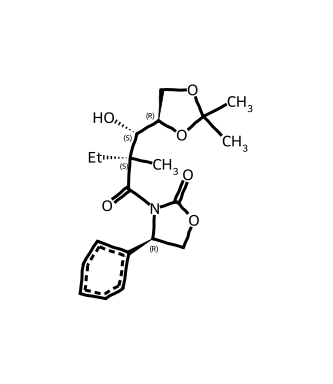 CC[C@](C)(C(=O)N1C(=O)OC[C@H]1c1ccccc1)[C@H](O)[C@H]1COC(C)(C)O1